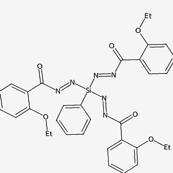 CCOc1ccccc1C(=O)N=N[Si](N=NC(=O)c1ccccc1OCC)(N=NC(=O)c1ccccc1OCC)c1ccccc1